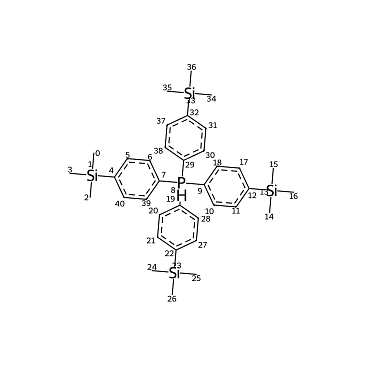 C[Si](C)(C)c1ccc([PH](c2ccc([Si](C)(C)C)cc2)(c2ccc([Si](C)(C)C)cc2)c2ccc([Si](C)(C)C)cc2)cc1